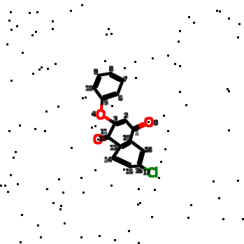 O=C1C=C(Oc2ccccc2)C(=O)c2ccc(Cl)cc21